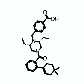 CC[C@@H]1CN(C(=O)c2ccccc2C2=CCC(C)(C)CC2)C[C@H](CC)N1Cc1ccc(C(=O)O)cc1